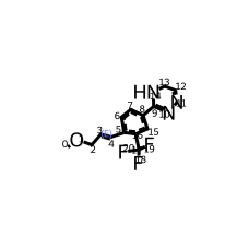 COC/C=C/c1ccc(C2=NN=CCN2)cc1C(F)(F)F